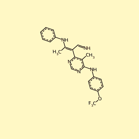 C/C(Nc1ccccc1)=C(/C=N)c1ncnc(Nc2ccc(OC(F)(F)F)cc2)c1C